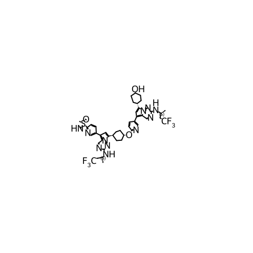 C[C@@H](CC(F)(F)F)Nc1ncc2c(-c3ccc(O[C@H]4CC[C@H](c5cc(-c6ccc(S(C)(=N)=O)nc6)c6cnc(N[C@@H](C)CC(F)(F)F)nn65)CC4)nc3)cc([C@H]3CC[C@H](O)CC3)n2n1